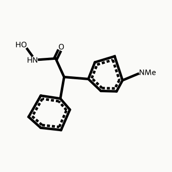 CNc1ccc(C(C(=O)NO)c2ccccc2)cc1